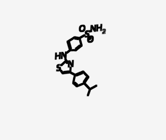 CC(C)c1ccc(-c2csc(Nc3ccc(S(N)(=O)=O)cc3)n2)cc1